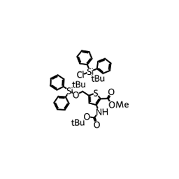 CC(C)(C)[Si](Cl)(c1ccccc1)c1ccccc1.COC(=O)c1sc(CO[Si](c2ccccc2)(c2ccccc2)C(C)(C)C)cc1NC(=O)OC(C)(C)C